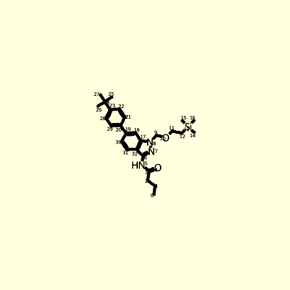 CCCC(=O)Nc1nn(COCC[Si](C)(C)C)c2cc(-c3ccc(C(C)(C)C)cc3)ccc12